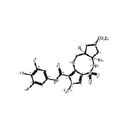 CCOC(=O)N1C[C@@H]2COc3c(cn(C)c3C(=O)Nc3cc(F)c(F)c(F)c3)S(=O)(=O)N[C@@H]2C1